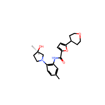 Cc1ccc(N2CC[C@@](C)(O)C2)c(NC(=O)c2ccc(C3CCOCC3)o2)c1